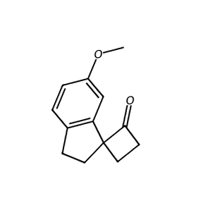 COc1ccc2c(c1)C1(CCC1=O)CC2